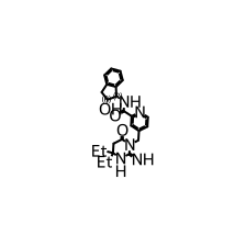 CCC1(CC)CC(=O)N(Cc2ccnc(C(=O)N[C@@H]3c4ccccc4C[C@H]3O)c2)C(=N)N1